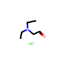 CCN(CC)CC=O.Cl